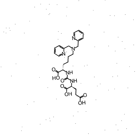 O=C(O)CC[C@H](NC(=O)N[C@@H](CCCCN(Cc1ccccn1)Cc1ccccn1)C(=O)O)C(=O)O